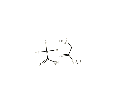 C=C(CC(=O)O)C(=O)O.O=C(O)C(F)(F)F